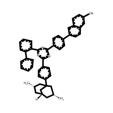 C[C@@H]1C[C@@H]2C[C@H](C)CC(c3ccc(-c4nc(-c5ccc(-c6ccc7cc(C#N)ccc7c6)cc5)nc(-c5ccccc5-c5ccccc5)n4)cc3)(C1)C2